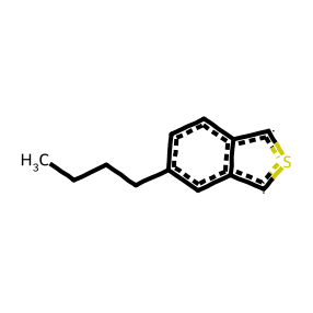 CCCCc1ccc2[c]s[c]c2c1